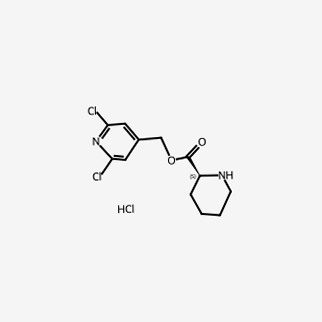 Cl.O=C(OCc1cc(Cl)nc(Cl)c1)[C@@H]1CCCCN1